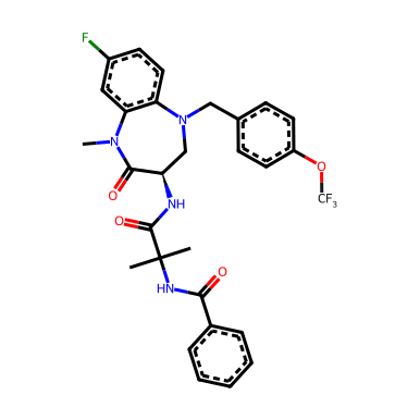 CN1C(=O)[C@H](NC(=O)C(C)(C)NC(=O)c2ccccc2)CN(Cc2ccc(OC(F)(F)F)cc2)c2ccc(F)cc21